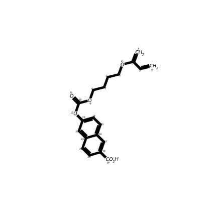 C=CC(=C)OCCCCOC(=O)Oc1ccc2cc(C(=O)O)ccc2c1